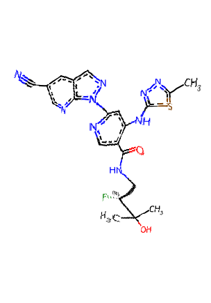 Cc1nnc(Nc2cc(-n3ncc4cc(C#N)cnc43)ncc2C(=O)NC[C@@H](F)C(C)(C)O)s1